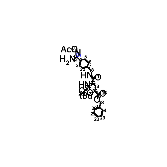 CC(=O)O/N=C(\N)c1ccc(CNC(=O)[C@H](CCC(=O)OCc2ccccc2)NC(=O)OC(C)(C)C)cc1